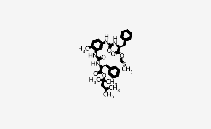 CSCOC(=O)[C@H](Cc1ccccc1)NC(=O)Nc1ccc(C)c(NC(=O)N[C@@H](Cc2ccccc2)C(=O)OC(C)(C)CC(C)C)c1